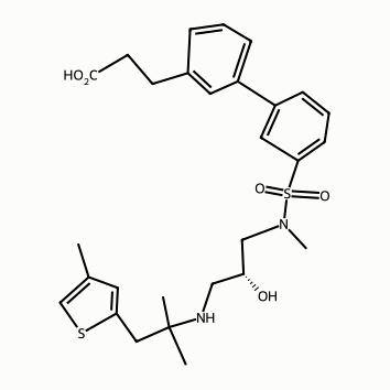 Cc1csc(CC(C)(C)NC[C@@H](O)CN(C)S(=O)(=O)c2cccc(-c3cccc(CCC(=O)O)c3)c2)c1